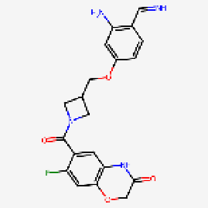 N=Cc1ccc(OCC2CN(C(=O)c3cc4c(cc3F)OCC(=O)N4)C2)cc1N